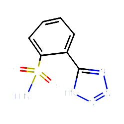 NS(=O)(=O)c1ccccc1-c1nnn[nH]1